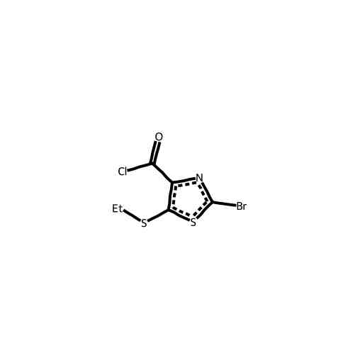 CCSc1sc(Br)nc1C(=O)Cl